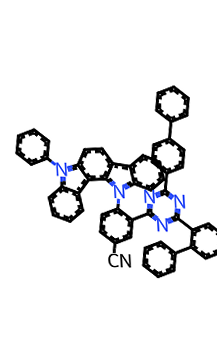 N#Cc1ccc(-n2c3ccccc3c3ccc4c(c5ccccc5n4-c4ccccc4)c32)c(-c2nc(-c3ccc(-c4ccccc4)cc3)nc(-c3ccccc3-c3ccccc3)n2)c1